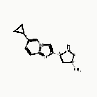 O[C@H]1CN[C@@H](c2cn3cc(C4CC4)ccc3n2)C1